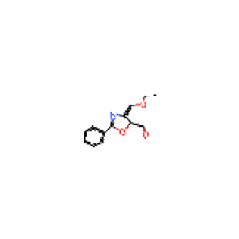 CCOC=C1N=C(c2ccccc2)OC1C=O